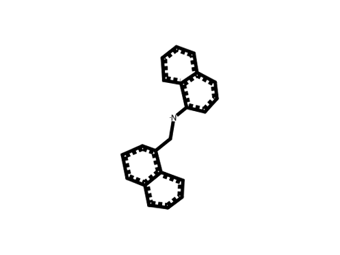 [c]1ccc2ccccc2c1C[N]c1cccc2ccccc12